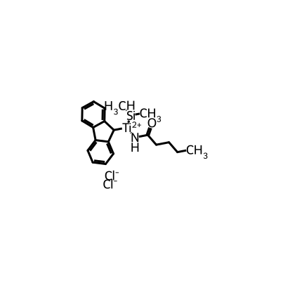 CCCCC(=O)[NH][Ti+2]([CH]1c2ccccc2-c2ccccc21)[SiH](C)C.[Cl-].[Cl-]